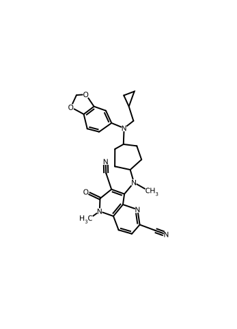 CN(c1c(C#N)c(=O)n(C)c2ccc(C#N)nc12)C1CCC(N(CC2CC2)c2ccc3c(c2)OCO3)CC1